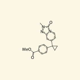 COC(=O)c1ccc(C2(c3ccn4c(=O)n(C)nc4c3)CC2)cc1